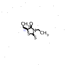 C/C=C1/SC(=S)N(CC)C1=O